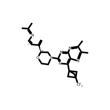 C=C(/C=C\N=C(C)C)[C@H]1CN(c2nc(C34CC(C(F)(F)F)(C3)C4)c3nc(C)c(C)nc3n2)CCO1